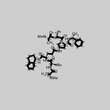 CN[C@@H](C)C(=O)N[C@H](C(=O)N1C[C@@H](NC(=O)CC[C@@H](NC(=O)[C@H](NC(=O)[C@@H](C)NC)C(C)(C)C)C(=O)N[C@H]2CCCc3ccccc32)C[C@H]1C(=O)N[C@H](C)c1ccccc1)C(C)C